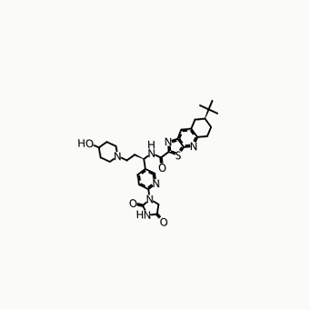 CC(C)(C)[C@H]1CCc2nc3sc(C(=O)N[C@H](CCN4CCC(O)CC4)c4ccc(N5CC(=O)NC5=O)nc4)nc3cc2C1